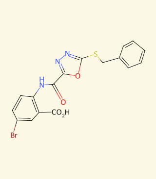 O=C(Nc1ccc(Br)cc1C(=O)O)c1nnc(SCc2ccccc2)o1